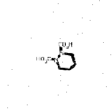 O=C(O)N1CCCCN1C(=O)O